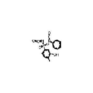 Cc1ccc(S(=O)(=O)N=C=O)cc1O.O=C=Nc1ccccc1